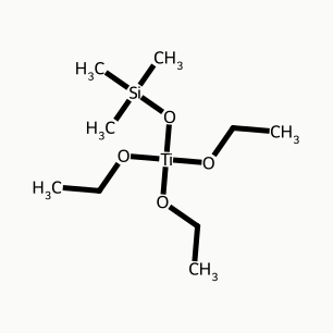 CC[O][Ti]([O]CC)([O]CC)[O][Si](C)(C)C